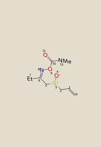 C=CC[S+]([O-])CC(CC)=NOC(=O)NC